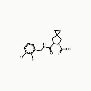 O=C(NCc1cccc(Cl)c1F)C1CC2(CC2)CN1C(=O)O